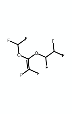 FC(F)=C(OC(F)F)OC(F)C(F)F